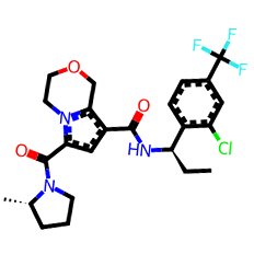 CC[C@@H](NC(=O)c1cc(C(=O)N2CCC[C@@H]2C)n2c1COCC2)c1ccc(C(F)(F)F)cc1Cl